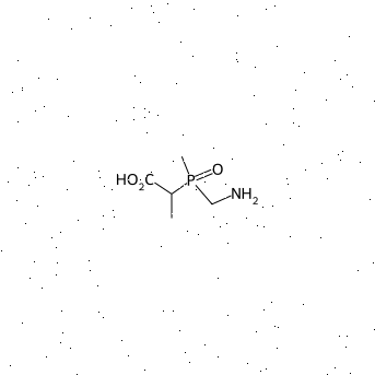 CC(C(=O)O)P(C)(=O)CN